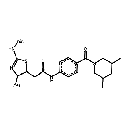 CCCCNC1=NC(O)C(CC(=O)Nc2ccc(C(=O)N3CC(C)CC(C)C3)cc2)S1